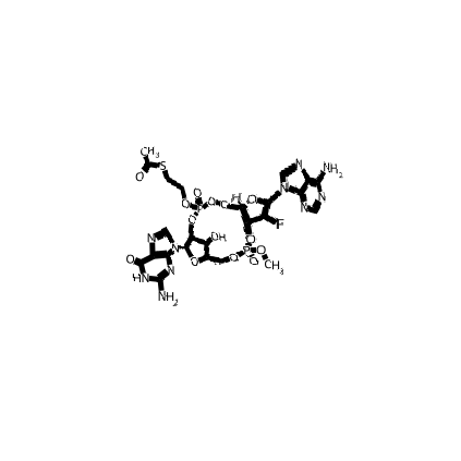 COP1(=O)OC[C@H]2O[C@@H](n3cnc4c(=O)[nH]c(N)nc43)C(OP(=O)(OCCSC(C)=O)OC[C@H]3OC(n4cnc5c(N)ncnc54)C(F)C3O1)C2O